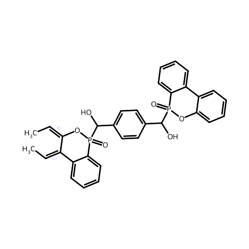 C/C=C1\C(=C/C)OP(=O)(C(O)c2ccc(C(O)P3(=O)Oc4ccccc4-c4ccccc43)cc2)c2ccccc21